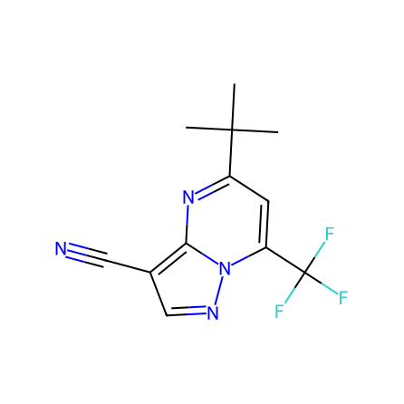 CC(C)(C)c1cc(C(F)(F)F)n2ncc(C#N)c2n1